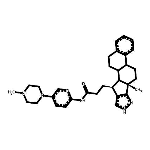 CN1CCN(c2ccc(NC(=O)CC[C@@H]3c4c[nH]nc4[C@@]4(C)CCC5c6ccccc6CCC5C34)nc2)CC1